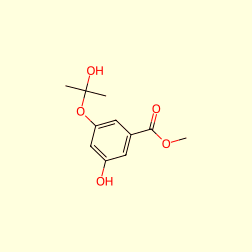 COC(=O)c1cc(O)cc(OC(C)(C)O)c1